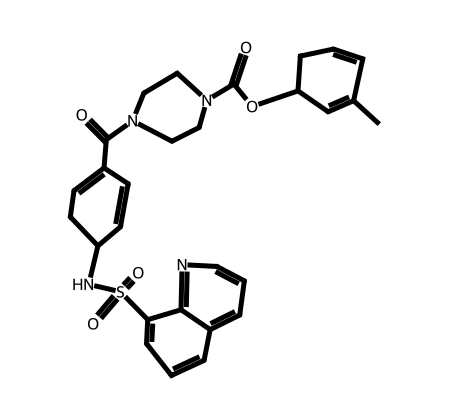 CC1=CC(OC(=O)N2CCN(C(=O)C3=CCC(NS(=O)(=O)c4cccc5cccnc45)C=C3)CC2)CC=C1